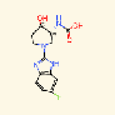 O=C(O)N[C@@H]1CN(c2nc3ccc(F)cc3[nH]2)CC[C@@H]1O